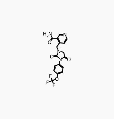 NC(=O)c1cnccc1CN1CC(=O)N(c2ccc(OC(F)(F)F)cc2)C1=O